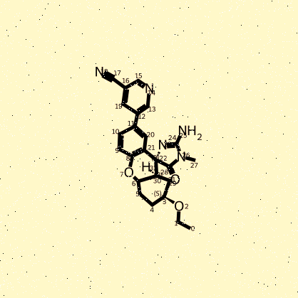 CCO[C@H]1CCC2Oc3ccc(-c4cncc(C#N)c4)cc3[C@]3(N=C(N)N(C)C3=O)[C@H]2C1